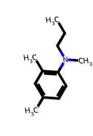 CCCN(C)c1ccc(C)cc1C